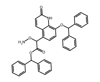 NOC(C(=O)OC(c1ccccc1)c1ccccc1)c1ccc(OC(c2ccccc2)c2ccccc2)c2[nH]c(=O)ccc12